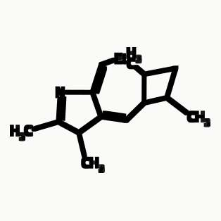 CC/C=C1/N=C(C)C(C)/C1=C/C1C(C)CC1C